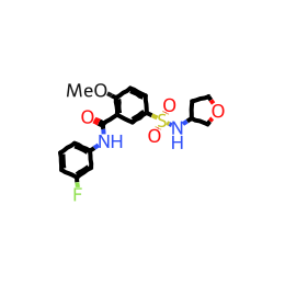 COc1ccc(S(=O)(=O)NC2CCOC2)cc1C(=O)Nc1cccc(F)c1